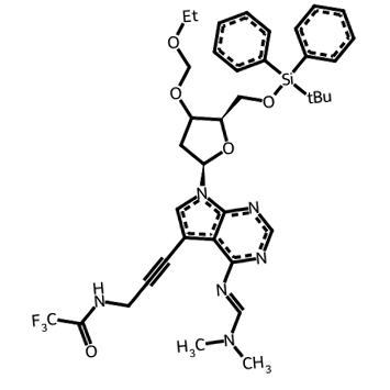 CCOCOC1C[C@H](n2cc(C#CCNC(=O)C(F)(F)F)c3c(/N=C/N(C)C)ncnc32)O[C@@H]1CO[Si](c1ccccc1)(c1ccccc1)C(C)(C)C